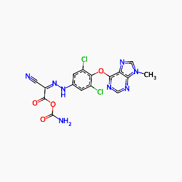 Cn1cnc2c(Oc3c(Cl)cc(NN=C(C#N)C(=O)OC(N)=O)cc3Cl)ncnc21